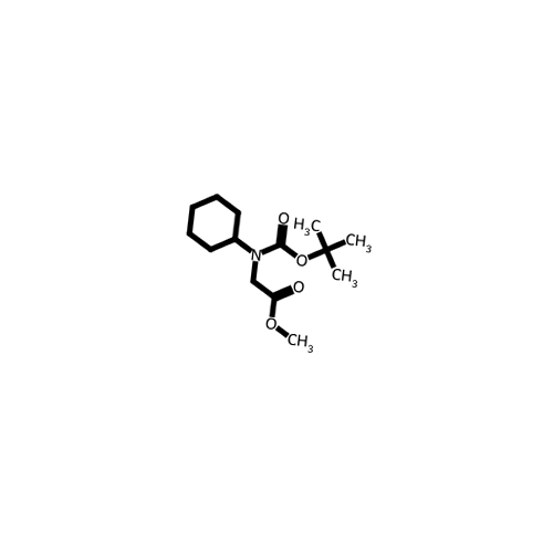 COC(=O)CN(C(=O)OC(C)(C)C)C1CCCCC1